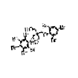 OCC(CO)(COc1c(Br)cc(Br)cc1Br)COc1c(Br)c(Br)c(Br)c(Br)c1Br